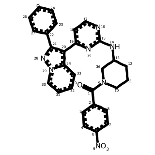 O=C(c1ccc([N+](=O)[O-])cc1)N1CCCC(Nc2nccc(-c3c(-c4ccccc4)nn4ccccc34)n2)C1